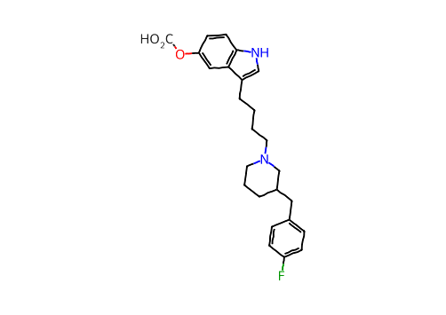 O=C(O)Oc1ccc2[nH]cc(CCCCN3CCCC(Cc4ccc(F)cc4)C3)c2c1